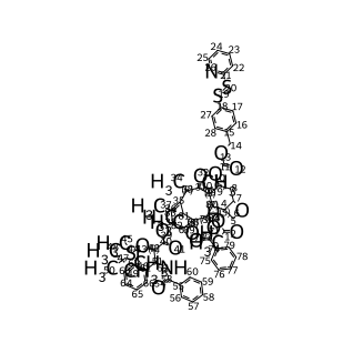 CC(=O)O[C@@]12COC1C[C@H](OC(=O)OCc1ccc(SSc3ccccn3)cc1)[C@@]1(C)C(=O)[C@H](C)C3=C(C)C(OC(=O)[C@H](O[Si](C)(C)C(C)(C)C)C(NC(=O)c4ccccc4)c4ccccc4)C[C@@](O)([C@@H](OC(=O)c4ccccc4)[C@@H]12)C3(C)C